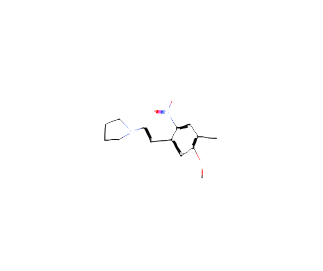 COc1cc(C=CN2CCCC2)c([N+](=O)[O-])cc1C